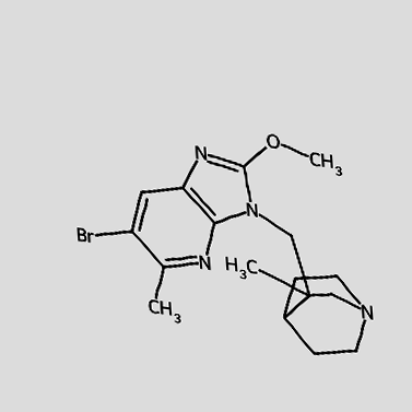 COc1nc2cc(Br)c(C)nc2n1CC1(C)CN2CCC1CC2